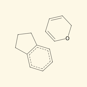 C1=CCOC=C1.c1ccc2c(c1)CCC2